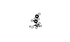 CC=C1C(=O)NC(=O)N1c1cc(Cl)c(Oc2ccc(Cl)cc2)c(Cl)c1